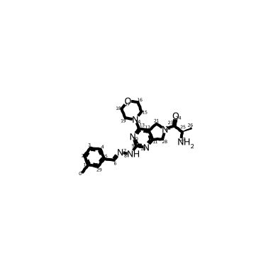 Cc1cccc(/C=N/Nc2nc3c(c(N4CCOCC4)n2)CN(C(=O)[C@@H](C)N)C3)c1